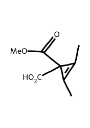 COC(=O)C1(C(=O)O)C(C)=C1C